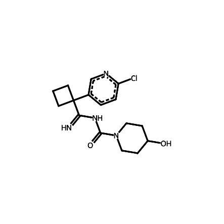 N=C(NC(=O)N1CCC(O)CC1)C1(c2ccc(Cl)nc2)CCC1